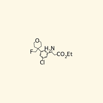 CCOC(=O)CC(N)c1cc(Cl)cc(C2(CF)CCOCC2)c1